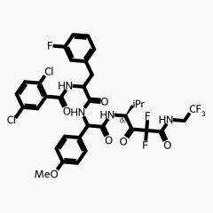 COc1ccc(C(NC(=O)C(Cc2cccc(F)c2)NC(=O)c2cc(Cl)ccc2Cl)C(=O)N[C@H](C(=O)C(F)(F)C(=O)NCC(F)(F)F)C(C)C)cc1